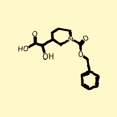 O=C(O)C(O)C1CCCN(C(=O)OCc2ccccc2)C1